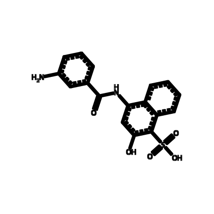 Nc1cccc(C(=O)Nc2cc(O)c(S(=O)(=O)O)c3ccccc23)c1